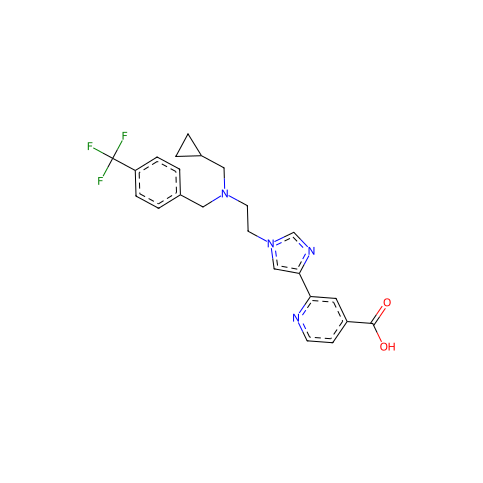 O=C(O)c1ccnc(-c2cn(CCN(Cc3ccc(C(F)(F)F)cc3)CC3CC3)cn2)c1